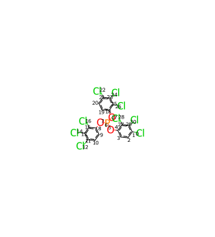 Clc1ccc(OP(Oc2ccc(Cl)c(Cl)c2Cl)Oc2ccc(Cl)c(Cl)c2Cl)c(Cl)c1Cl